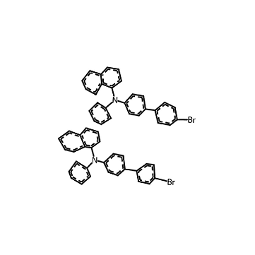 Brc1ccc(-c2ccc(N(c3ccccc3)c3cccc4ccccc34)cc2)cc1.Brc1ccc(-c2ccc(N(c3ccccc3)c3cccc4ccccc34)cc2)cc1